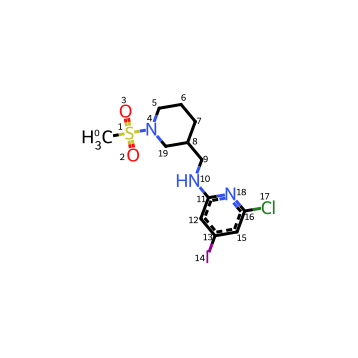 CS(=O)(=O)N1CCCC(CNc2cc(I)cc(Cl)n2)C1